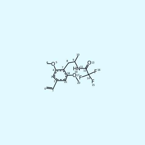 C=Cc1cc(OC)c(CC(C)NC(=O)C(F)(F)F)c(OC)c1